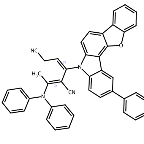 C/C(=C(C#N)\C(=C/CC#N)n1c2ccc(-c3ccccc3)cc2c2c3oc4ccccc4c3ccc21)N(c1ccccc1)c1ccccc1